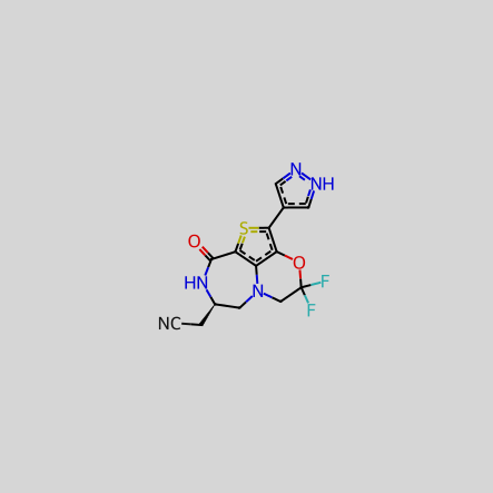 N#CC[C@@H]1CN2CC(F)(F)Oc3c(-c4cn[nH]c4)sc(c32)C(=O)N1